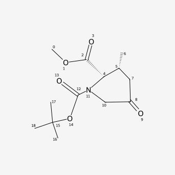 COC(=O)[C@@H]1[C@H](C)CC(=O)CN1C(=O)OC(C)(C)C